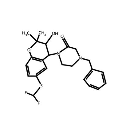 CC1(C)Oc2ccc(SC(F)F)cc2C(N2CCN(Cc3ccccc3)CC2=O)C1O